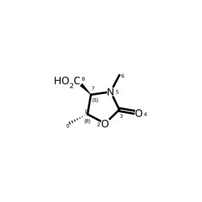 C[C@H]1OC(=O)N(C)[C@@H]1C(=O)O